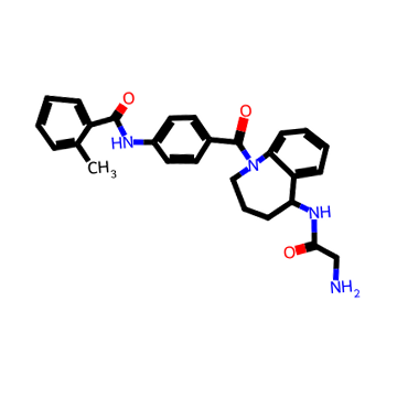 Cc1ccccc1C(=O)Nc1ccc(C(=O)N2CCCC(NC(=O)CN)c3ccccc32)cc1